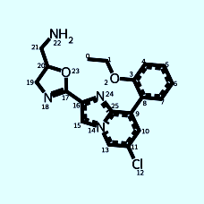 CCOc1ccccc1-c1cc(Cl)cn2cc(C3=NCC(CN)O3)nc12